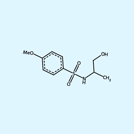 COc1ccc(S(=O)(=O)NC(C)CO)cc1